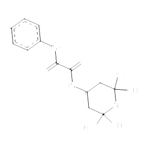 CC1(C)CC(NC(=O)C(=O)Nc2ccccc2)CC(C)(C)N1